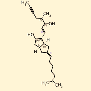 CC#CC[C@H](C)[C@H](O)/C=C/[C@@H]1[C@H]2C/C(=C/CCCCN(C)C)C[C@H]2C[C@H]1O